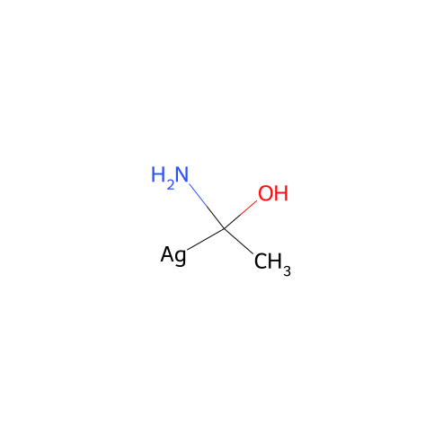 C[C](N)(O)[Ag]